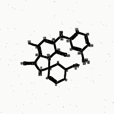 CCCC1CC=CC2(C1)NC(=O)c1c(C)cc(Nc3cc(N)ncn3)c(=O)n12